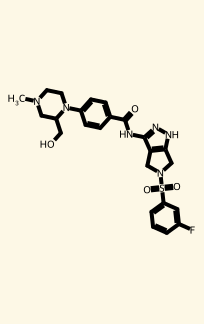 CN1CCN(c2ccc(C(=O)Nc3n[nH]c4c3CN(S(=O)(=O)c3cccc(F)c3)C4)cc2)C(CO)C1